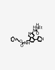 CCNC(=O)Nc1cc2c(-c3ccncc3)ccc(CNC(=O)OCCN3CCCC3)c2cn1